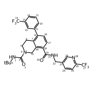 CC(C)(C)NC(=O)N1CCc2c(-c3cccc(C(F)(F)F)c3)ccc(C(=O)NCc3ccc(C(F)(F)F)nc3)c2C1